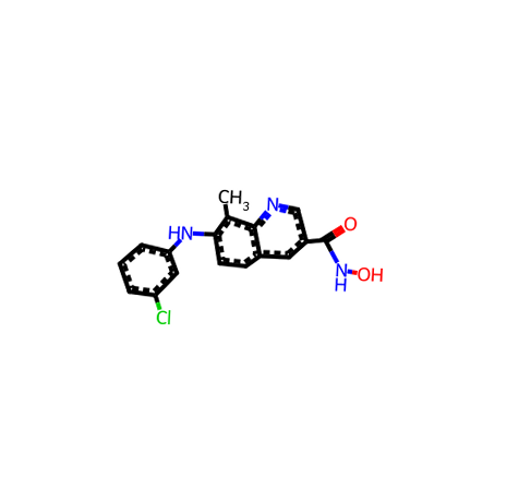 Cc1c(Nc2cccc(Cl)c2)ccc2cc(C(=O)NO)cnc12